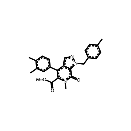 COC(=O)c1c(-c2ccc(C)c(C)c2)c2cnn(Cc3ccc(C)cc3)c2c(=O)n1C